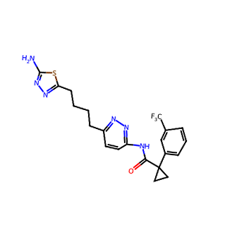 Nc1nnc(CCCCc2ccc(NC(=O)C3(c4cccc(C(F)(F)F)c4)CC3)nn2)s1